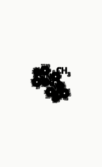 Cc1cc2c3c(c1)N1c4ccccc4[Si]4(c5ccccc5-c5ccccc54)c4cccc(c41)B3N1c3ccccc3[Si]3(c4ccccc4-c4ccccc43)c3cccc-2c31